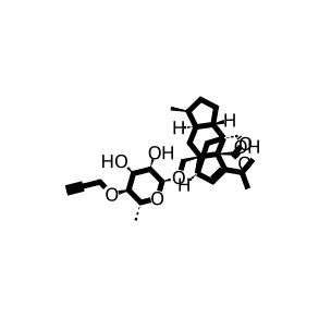 C#CCO[C@H]1[C@H](O)[C@H](O)[C@H](OC[C@]23C[C@H]4[C@@H](C)CC[C@@H]4[C@]4(C=O)C[C@H]2C=C(C(C)C)[C@]34C(=O)O)O[C@@H]1C